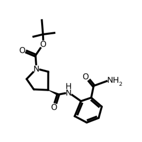 CC(C)(C)OC(=O)N1CC[C@H](C(=O)Nc2ccccc2C(N)=O)C1